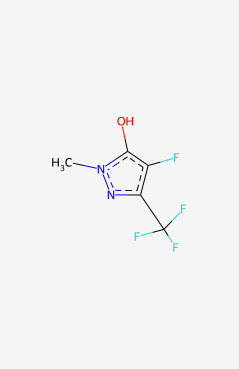 Cn1nc(C(F)(F)F)c(F)c1O